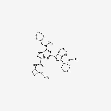 CO[C@H]1CCC1NC(=O)c1cnc2c(N(C)Cc3ccccc3)cc(-c3cn([C@@H]4CCOC[C@H]4OC)c4ncccc34)nn12